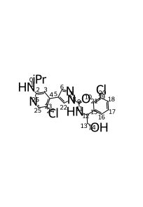 CC(C)Nc1cc(-c2cnn(C(=O)NC(CO)c3cccc(Cl)c3)c2)c(Cl)cn1